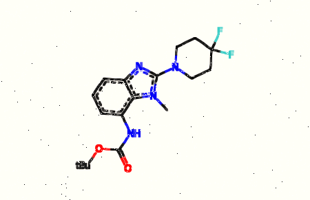 Cn1c(N2CCC(F)(F)CC2)nc2cccc(NC(=O)OC(C)(C)C)c21